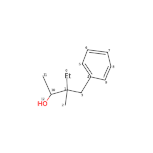 CCC(C)(Cc1ccccc1)C(C)O